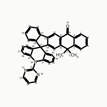 CC1(C)c2ccccc2C(=O)c2cc3c(cc21)C1(c2ccccc2-3)c2ccccc2N(c2ncccn2)c2ccccc21